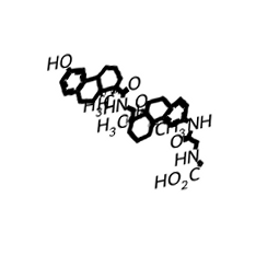 C[C@]1(C(=O)NC(=O)[C@@]2(C)CCC[C@]3(C)c4cc(NC(=O)CNCC(=O)O)ccc4CC[C@@H]23)CCCC2c3cc(O)ccc3CC[C@H]21